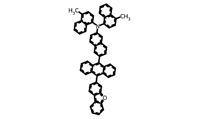 Cc1ccc(N(c2ccc3cc(-c4c5ccccc5c(-c5ccc6c(c5)oc5ccccc56)c5ccccc45)ccc3c2)c2ccc(C)c3ccccc23)c2ccccc12